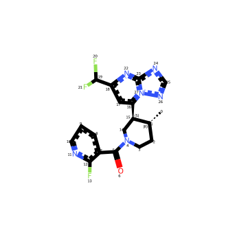 C[C@@H]1CCN(C(=O)c2cccnc2F)C[C@H]1c1cc(C(F)F)nc2ncnn12